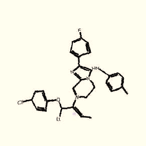 C/C=C(/C(CC)OC1=CCC(Cl)C=C1)N1CCn2c(nc(-c3ccc(F)cc3)c2Nc2ccc(C)cc2)C1